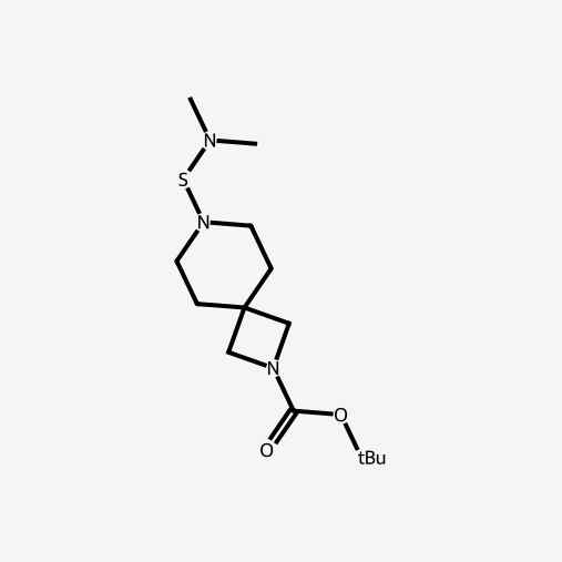 CN(C)SN1CCC2(CC1)CN(C(=O)OC(C)(C)C)C2